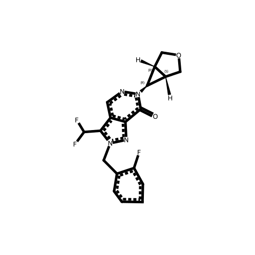 O=c1c2nn(Cc3ccccc3F)c(C(F)F)c2cnn1[C@H]1[C@@H]2COC[C@@H]21